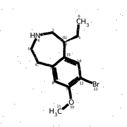 CC[C@@H]1CNCCc2cc(OC)c(Br)cc21